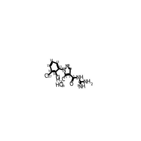 Cc1c(C(=O)NC(=N)N)cnn1-c1cccc(Cl)c1Cl.Cl